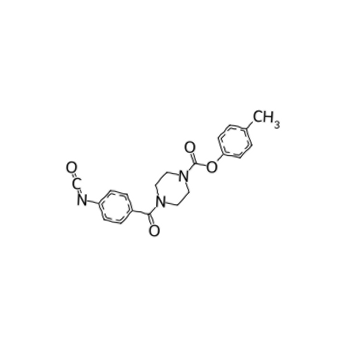 Cc1ccc(OC(=O)N2CCN(C(=O)c3ccc(N=C=O)cc3)CC2)cc1